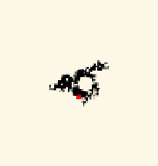 COC(=O)[C@@]1(O)CC(=O)N(C)CC/C=C/[C@H](OCCN2CC(F)C2)[C@@H]2CC[C@H]2CN2C[C@@]3(CCCc4cc(Cl)ccc43)COc3ccc1cc32